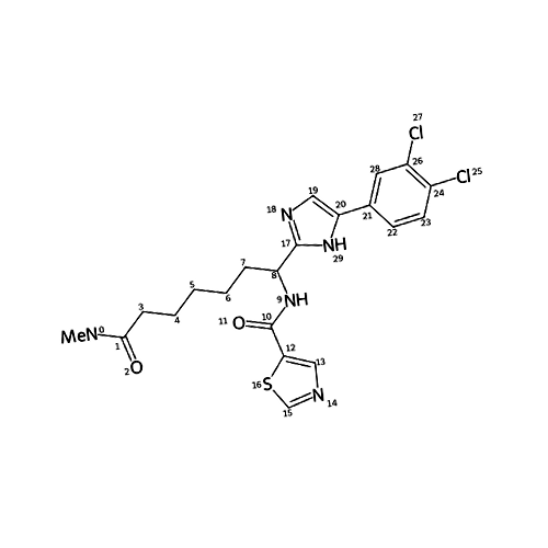 CNC(=O)CCCCCC(NC(=O)c1cncs1)c1ncc(-c2ccc(Cl)c(Cl)c2)[nH]1